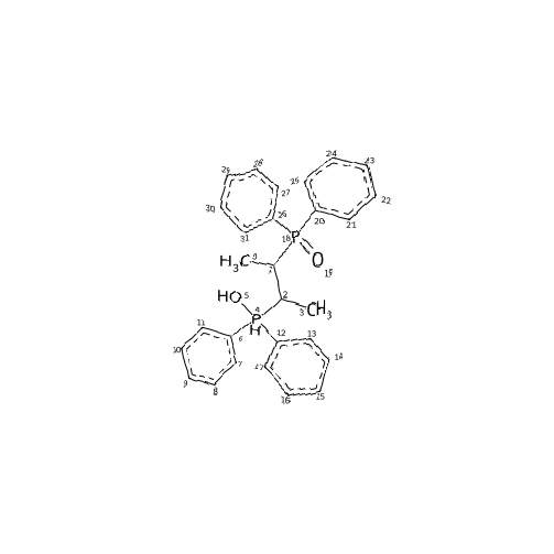 CC(C(C)[PH](O)(c1ccccc1)c1ccccc1)P(=O)(c1ccccc1)c1ccccc1